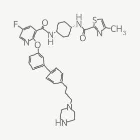 Cc1csc(C(=O)N[C@H]2CC[C@@H](NC(=O)c3cc(F)cnc3Oc3cccc(-c4ccc(CCCN5CCNCC5)cc4)c3)CC2)n1